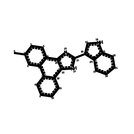 Cc1ccc2c(c1)c1ccccc1c1[nH]c(-c3c[nH]c4ccccc34)nc21